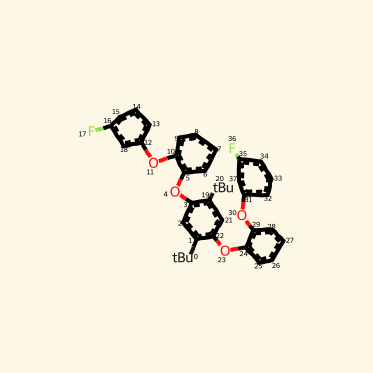 CC(C)(C)c1cc(Oc2ccccc2Oc2cccc(F)c2)c(C(C)(C)C)cc1Oc1ccccc1Oc1cccc(F)c1